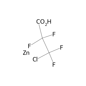 O=C(O)C(F)(F)C(F)(F)Cl.[Zn]